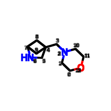 C1CN(CC23CNC(C2)C3)CCO1